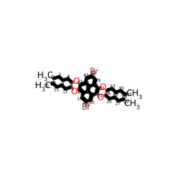 CCCCCCOc1c(OCCCCCC)c2cc(Br)cc3c(OCCCCCC)c(OCCCCCC)c4cc(Br)cc1c4c23